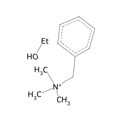 CCO.C[N+](C)(C)Cc1ccccc1